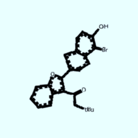 CC(C)(C)CC(=O)c1c(-c2ccc3c(Br)c(O)ccc3c2)oc2ccccc12